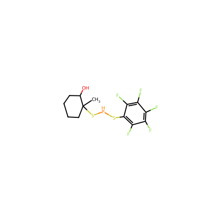 CC1(SPSc2c(F)c(F)c(F)c(F)c2F)CCCCC1O